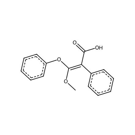 COC(Oc1ccccc1)=C(C(=O)O)c1ccccc1